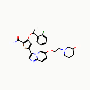 CC(Oc1cc(-c2cnc3ccc(OCCN4CCCC(O)C4)cn23)sc1C(N)=O)c1ccccc1Cl